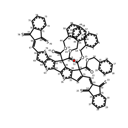 O=C(OCc1ccccc1)C1(C(=O)OCc2ccccc2)C(C=C2C(=S)c3ccccc3C2=S)=Cc2sc3c(c21)C(C(=O)OCc1ccccc1)(C(=O)OCc1ccccc1)c1c-3sc2cc(C=C3C(=S)c4ccccc4C3=S)sc12